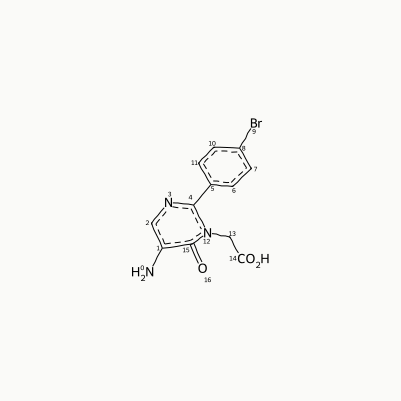 Nc1cnc(-c2ccc(Br)cc2)n(CC(=O)O)c1=O